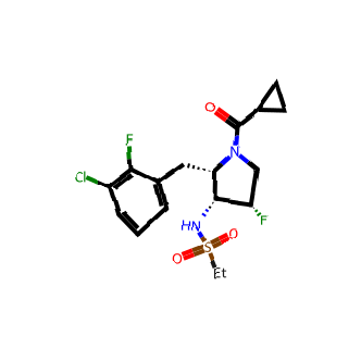 CCS(=O)(=O)N[C@H]1[C@@H](F)CN(C(=O)C2CC2)[C@H]1Cc1cccc(Cl)c1F